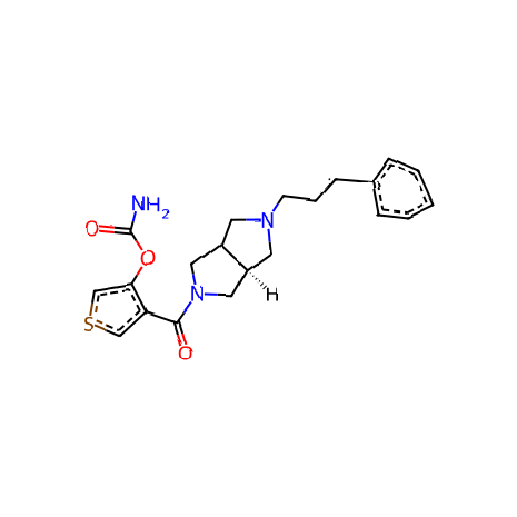 NC(=O)Oc1cscc1C(=O)N1CC2CN(CC[CH]c3ccccc3)C[C@H]2C1